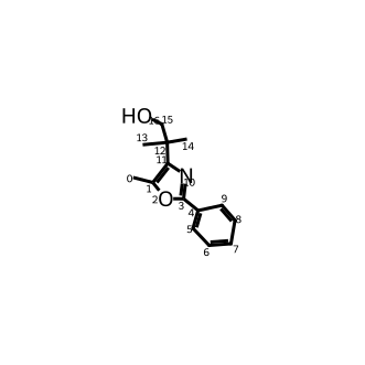 Cc1oc(-c2ccccc2)nc1C(C)(C)CO